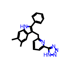 Cc1cc2[nH]c(-c3ccccc3)c(Cc3cccc(-c4nnn[nH]4)n3)c2cc1C